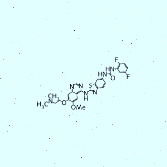 COc1cc2c(Nc3nc4ccc(NC(=O)Nc5cc(F)ccc5F)cc4s3)ncnc2cc1OCCN(C)C